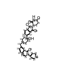 O=C1CCC(N2C(=O)c3ccc(C4(O)CCN(Cc5ccc6ncn(-c7ccncc7)c(=O)c6c5)CC4)cc3C2=O)C(=O)N1